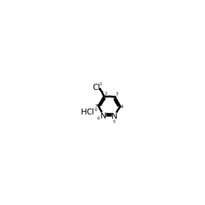 Cl.Clc1ccnnc1